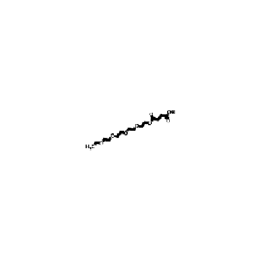 CCOCCOCCOCCOCCOC(=O)CCC(=O)O